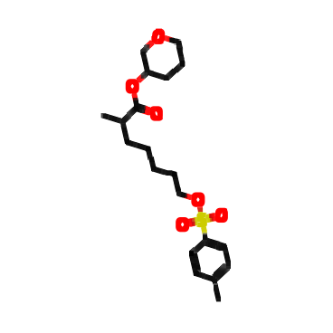 Cc1ccc(S(=O)(=O)OCCCCCC(C)C(=O)OC2CCCOC2)cc1